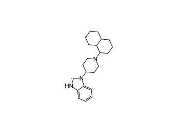 [CH]1Nc2ccccc2N1C1CCN(C2CCCC3CCCCC32)CC1